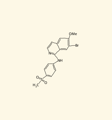 COc1cc2ccnc(Nc3ccc(S(C)(=O)=O)cc3)c2cc1Br